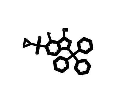 O=S(=O)(c1ccc2c(c(O)nn2C(c2ccccc2)(c2ccccc2)c2ccccc2)c1Br)C1CC1